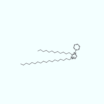 CCCCCCCCCCCCCCCCCC[n+]1ccn(-c2ccccc2)c1CCCCCCCCCCCC